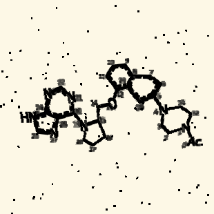 CC(=O)N1CCN(c2ccc3cccc(OC[C@H]4CCCN4c4ncnc5[nH]cnc45)c3c2)CC1